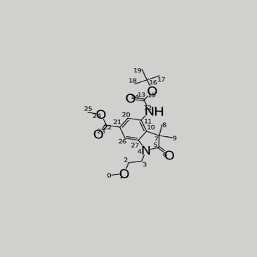 COCCN1C(=O)C(C)(C)c2c(NC(=O)OC(C)(C)C)cc(C(=O)OC)cc21